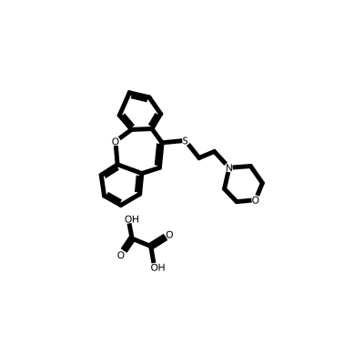 C1=C(SCCN2CCOCC2)c2ccccc2Oc2ccccc21.O=C(O)C(=O)O